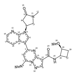 CNc1cc(-c2cn([C@H]3CC(=O)N(C)C3)c3ncccc23)nc2c(C(=O)NC3CC[C@@H]3OC)cnn12